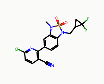 CN1c2cc(-c3nc(Cl)ccc3C#N)ccc2N(CC2CC2(F)F)S1(=O)=O